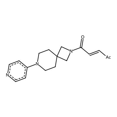 CC(=O)C=CC(=O)N1CC2(CCN(c3ccncc3)CC2)C1